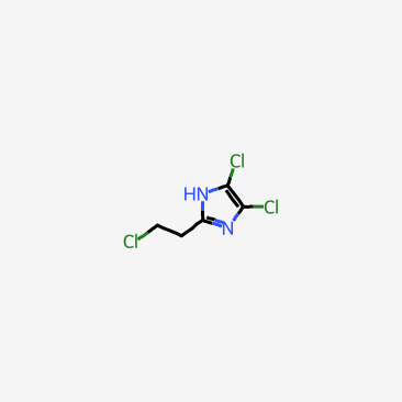 ClCCc1nc(Cl)c(Cl)[nH]1